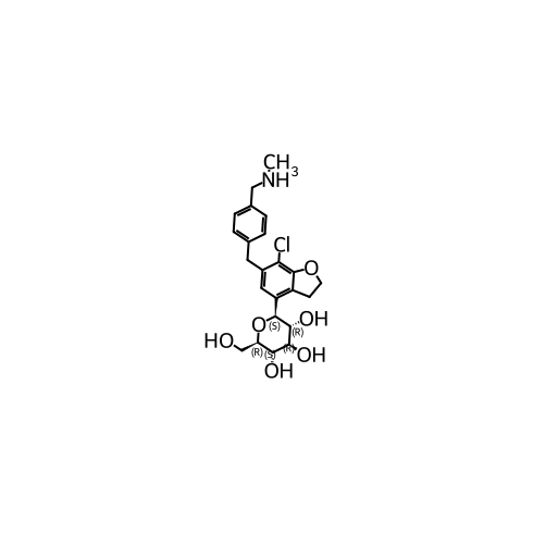 CNCc1ccc(Cc2cc([C@@H]3O[C@H](CO)[C@@H](O)[C@H](O)[C@H]3O)c3c(c2Cl)OCC3)cc1